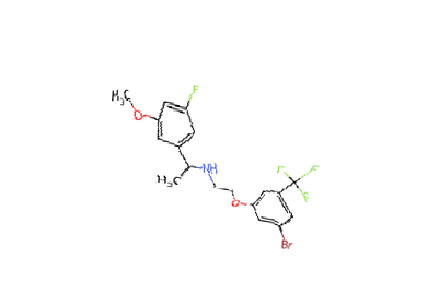 COc1cc(F)cc(C(C)NCCOc2cc(Br)cc(C(F)(F)F)c2)c1